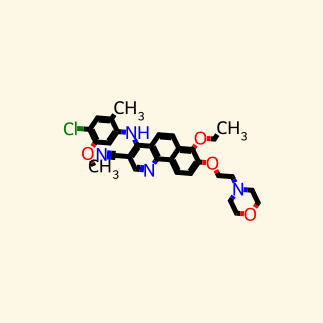 CCOc1c(OCCN2CCOCC2)ccc2c1ccc1c(Nc3cc(OC)c(Cl)cc3C)c(C#N)cnc12